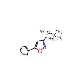 CC(C)(C)NCc1cc(-c2ccccc2)on1